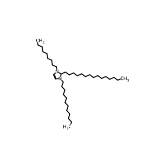 CCCCCCCCCCCCCCCC1N(CCCCCCCCC)C=CN1CCCCCCCCCCCC